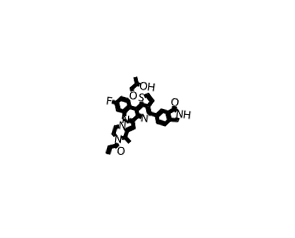 C=CC(=O)N1CCn2nc(-c3nc(-c4ccc5c(c4)C(=O)NC5)c4ccsc4c3-c3c(F)cc(F)cc3OCC(C)O)cc2C1C